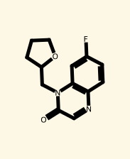 O=c1cnc2ccc(F)cc2n1CC1CCCO1